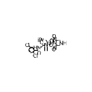 CC(C)CC(NC(=O)CNC(=O)c1cc(Cl)ccc1Cl)B1OC(=O)[C@@H]2CNC[C@@H](C(=O)O1)N2C